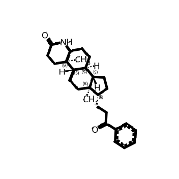 C[C@]12CC[C@H]3[C@@H](CCC4NC(=O)CC[C@@]43C)[C@@H]1CC[C@@H]2CCC(=O)c1ccccc1